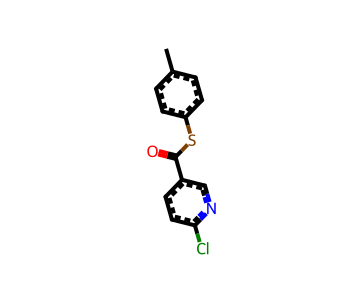 Cc1ccc(SC(=O)c2ccc(Cl)nc2)cc1